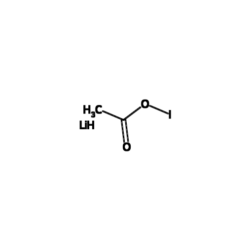 CC(=O)OI.[LiH]